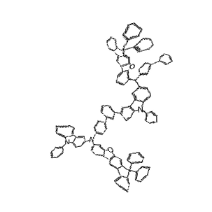 c1ccc(-c2ccc(C(c3ccc4c(c3)c3cc(-c5cccc(-c6ccc(N(c7ccc8c(c7)oc7cc9c(cc78)-c7ccccc7C9(c7ccccc7)c7ccccc7)c7ccc8c(c7)c7ccccc7n8-c7ccccc7)cc6)c5)ccc3n4-c3ccccc3)c3cccc4c3oc3cc5c(cc34)-c3ccccc3C5(c3ccccc3)c3ccccc3)cc2)cc1